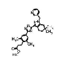 Cc1cc(-c2noc(-c3nn(Cc4cccnc4)c4c3CCC(C)(C)C4)n2)cc(C)c1CCC(=O)OC(C)(C)C